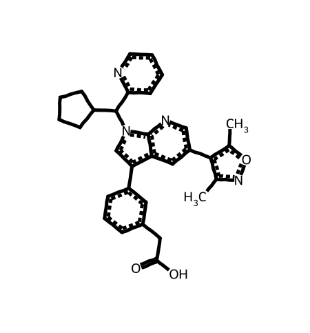 Cc1noc(C)c1-c1cnc2c(c1)c(-c1cccc(CC(=O)O)c1)cn2C(c1ccccn1)C1CCCC1